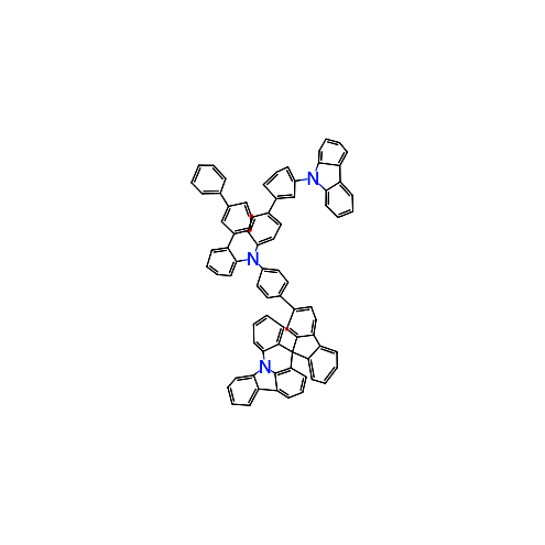 c1ccc(-c2cccc(-c3ccccc3N(c3ccc(-c4cccc(-n5c6ccccc6c6ccccc65)c4)cc3)c3ccc(-c4ccc5c(c4)C4(c6ccccc6-5)c5ccccc5-n5c6ccccc6c6cccc4c65)cc3)c2)cc1